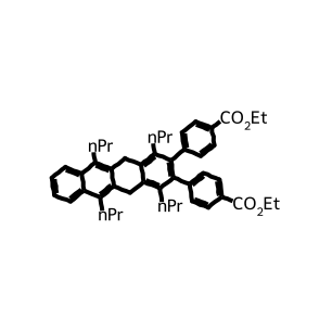 CCCc1c2c(c(CCC)c(-c3ccc(C(=O)OCC)cc3)c1-c1ccc(C(=O)OCC)cc1)Cc1c(c(CCC)c3ccccc3c1CCC)C2